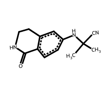 CC(C)(C#N)Nc1ccc2c(c1)CCNC2=O